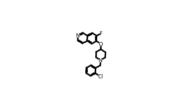 Fc1cc2cnccc2cc1OC1CCN(Cc2ccccc2Cl)CC1